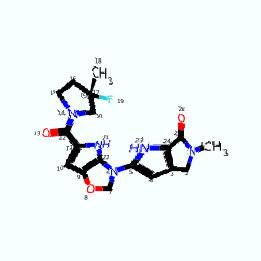 CN1Cc2cc(N3COc4cc(C(=O)N5CC[C@](C)(F)C5)[nH]c43)[nH]c2C1=O